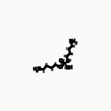 NCCCCOP(=O)(O)OCCCCN